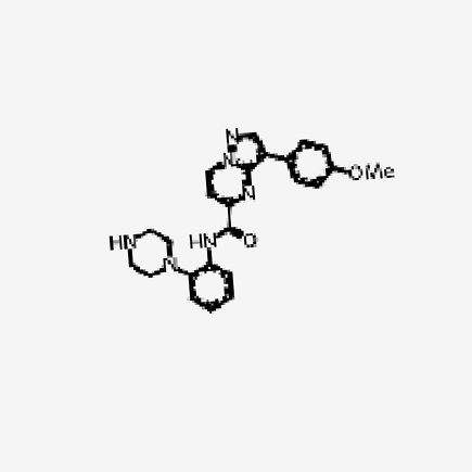 COc1ccc(-c2cnn3ccc(C(=O)Nc4ccccc4N4CCNCC4)nc23)cc1